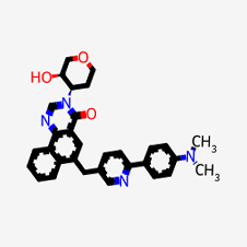 CN(C)c1ccc(-c2ccc(Cc3cc4c(=O)n([C@H]5CCOC[C@@H]5O)cnc4c4ccccc34)cn2)cc1